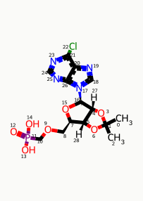 CC1(C)O[C@@H]2[C@H](O1)[C@@H](COCP(=O)(O)O)O[C@H]2n1cnc2c(Cl)ncnc21